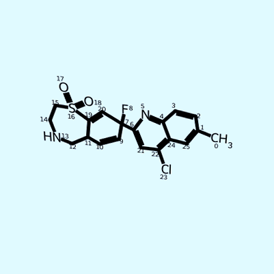 Cc1ccc2nc(C3(F)C=CC4CNCCS(=O)(=O)C4=C3)cc(Cl)c2c1